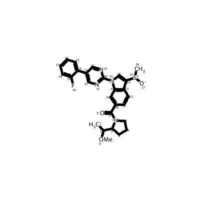 COC(C)C1CCCN1C(=O)c1ccc2c([S+](C)[O-])cn(-c3ncc(-c4ccccc4F)cn3)c2c1